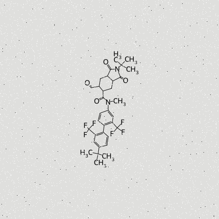 CN(C(=O)C1CC2C(=O)N(C(C)(C)C)C(=O)C2CC1C=O)c1ccc(-c2ccc(C(C)(C)C)cc2C(F)(F)F)c(C(F)(F)F)c1